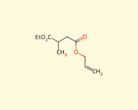 C=CCOC(=O)CC(C)C(=O)OCC